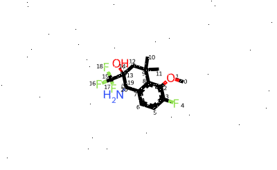 COc1c(F)ccc2c1C(C)(C)C[C@@](O)(C(F)(F)F)[C@H]2N